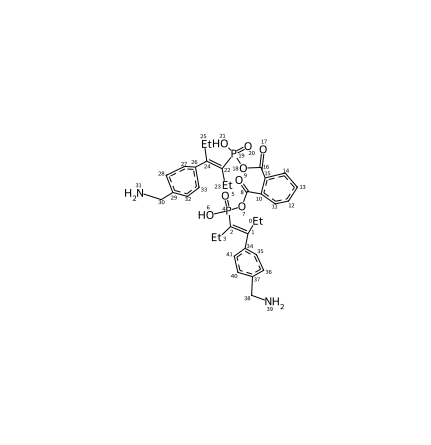 CCC(=C(CC)P(=O)(O)OC(=O)c1ccccc1C(=O)OP(=O)(O)C(CC)=C(CC)c1ccc(CN)cc1)c1ccc(CN)cc1